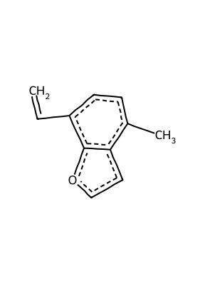 C=Cc1ccc(C)c2ccoc12